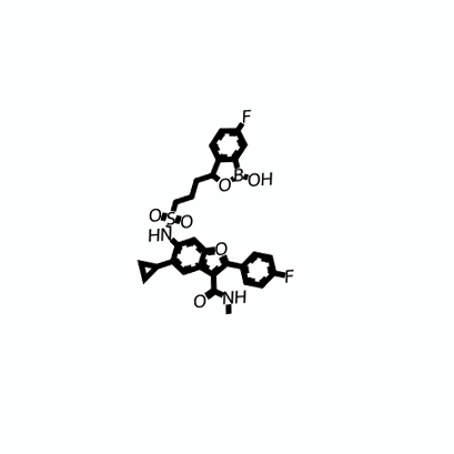 CNC(=O)c1c(-c2ccc(F)cc2)oc2cc(NS(=O)(=O)CCCC3OB(O)c4cc(F)ccc43)c(C3CC3)cc12